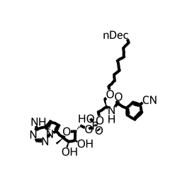 CCCCCCCCCCCCCCCCCCOC[C@H](COP(=O)(O)OC[C@H]1O[C@@](C)(c2ccc3c(N)ncnn23)[C@H](O)[C@@H]1O)NC(=O)c1cccc(C#N)c1